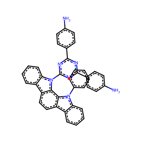 Nc1ccc(-c2nc(-c3ccc(N)cc3)nc(-n3c4ccccc4c4ccc5c6ccccc6n(-c6ccccc6)c5c43)n2)cc1